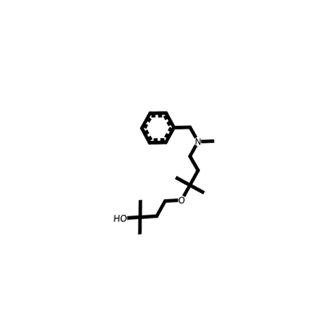 CN(CCC(C)(C)OCCC(C)(C)O)Cc1ccccc1